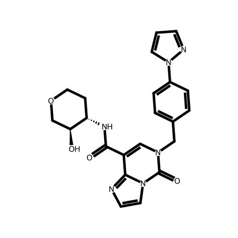 O=C(N[C@H]1CCOC[C@@H]1O)c1cn(Cc2ccc(-n3cccn3)cc2)c(=O)n2ccnc12